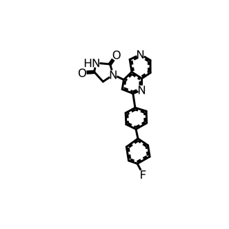 O=C1CN(c2cc(-c3ccc(-c4ccc(F)cc4)cc3)nc3ccncc23)C(=O)N1